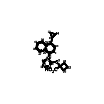 O=C(O)C1(Sc2nncn2-c2ccc(C3CC3)c3ccccc23)CCC1